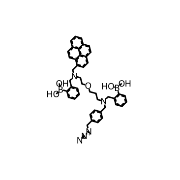 [N-]=[N+]=NCc1ccc(CN(CCCOCCN(Cc2ccccc2B(O)O)Cc2ccc3ccc4cccc5ccc2c3c45)Cc2ccccc2B(O)O)cc1